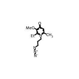 CCc1c(OC)c(=O)cc(C)n1CCCN=[N+]=[N-]